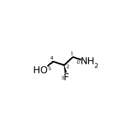 NC[C@@H](F)CO